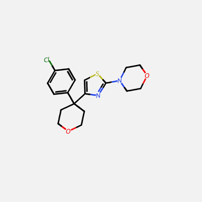 Clc1ccc(C2(c3csc(N4CCOCC4)n3)CCOCC2)cc1